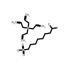 C=CC[N+](CC=C)(CC=C)CC=C.O=S(=O)([O-])CCCCCCCC(F)F